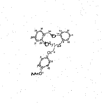 COc1ccc(OCCSc2ccccc2OCc2ccccc2C)cc1